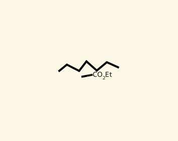 CCCCCCC.CCOC(C)=O